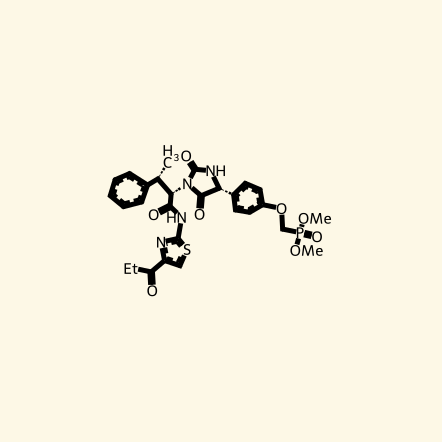 CCC(=O)c1csc(NC(=O)[C@H]([C@@H](C)c2ccccc2)N2C(=O)N[C@H](c3ccc(OCP(=O)(OC)OC)cc3)C2=O)n1